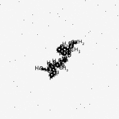 C=CC(=O)N1C[C@H](C)N(c2nc(=O)n3c4c(c(-c5c(F)cccc5N=O)c(Cl)cc24)OC[C@H]3Cn2ccc(C(=C)C(=O)N3C[C@H](C)N(c4nc(=O)n5c6c(c(-c7ccc(F)cc7F)c(Cl)cc46)O[C@@H](CCCO)C5)C[C@H]3C)n2)C[C@H]1C